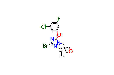 CC1(Cn2nc(Br)nc2Oc2cc(F)cc(Cl)c2)COC1